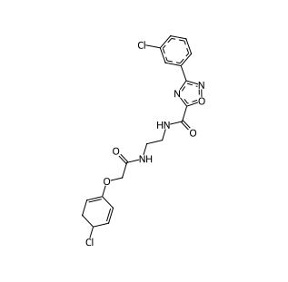 O=C(COC1=CCC(Cl)C=C1)NCCNC(=O)c1nc(-c2cccc(Cl)c2)no1